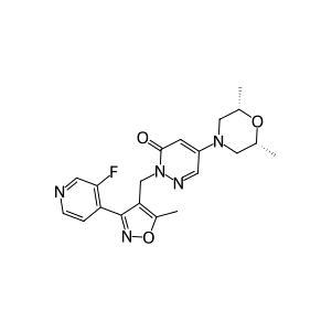 Cc1onc(-c2ccncc2F)c1Cn1ncc(N2C[C@@H](C)O[C@@H](C)C2)cc1=O